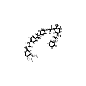 Cc1ccc(NC(=O)Nc2ccc(S(=O)(=O)c3ccc(NC(=O)Nc4cc(NC(=O)Oc5ccccc5)ccc4C)cc3)cc2)cc1N